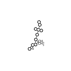 CC1(C)c2cc(-c3ccc(-c4c5ccccc5c(-c5ccc6ccccc6c5)c5ccccc45)cc3)ccc2-c2c1ccc1c2ccc2c3ccccc3sc12